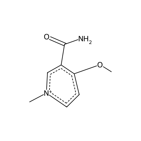 COc1cc[n+](C)cc1C(N)=O